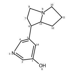 Oc1cncc(C2CCN3CCCC23)c1